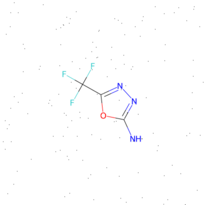 [NH]c1nnc(C(F)(F)F)o1